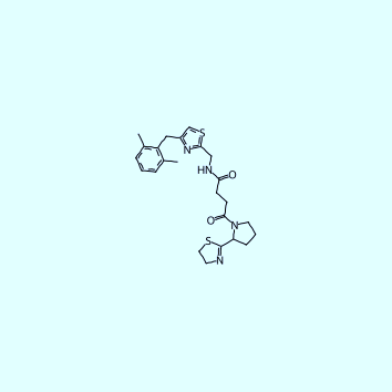 Cc1cccc(C)c1Cc1csc(CNC(=O)CCC(=O)N2CCCC2C2=NCCS2)n1